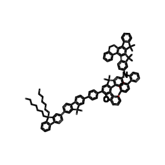 CCCCCCCC1(CCCCCCC)c2ccccc2-c2ccc(-c3ccc4c(c3)C(C)(C)c3cc(-c5ccc(-c6cc7c(c8c6oc6ccccc68)-c6ccc(N(c8ccc9c(c8)C(C)(C)c8c-9c9c(c%10c8C(C)(C)c8ccccc8-%10)CCc8ccccc8-9)c8ccccc8-c8ccc(C)cc8)cc6C7(C)C)cc5)ccc3-4)cc21